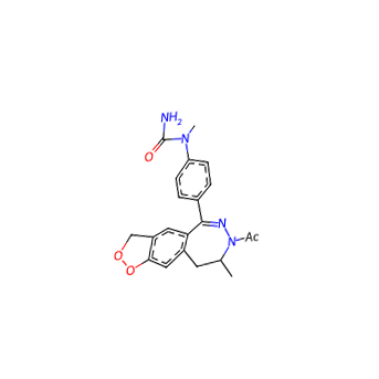 CC(=O)N1N=C(c2ccc(N(C)C(N)=O)cc2)c2cc3c(cc2CC1C)OOC3